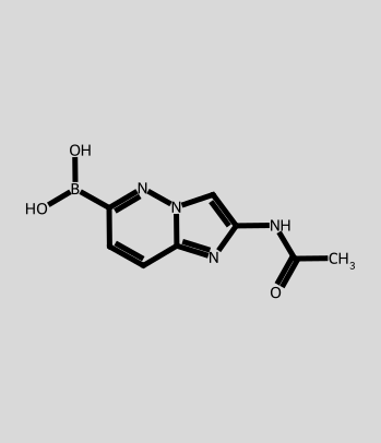 CC(=O)Nc1cn2nc(B(O)O)ccc2n1